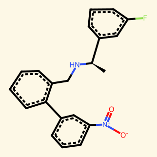 C[C@@H](NCc1ccccc1-c1cccc([N+](=O)[O-])c1)c1cccc(F)c1